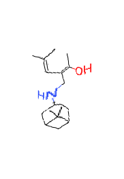 CC(C)=C/C(CNC1CC2CC(C1)C2(C)C)=C(\C)O